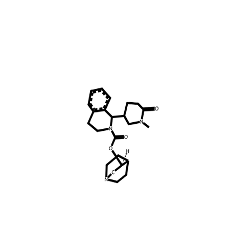 CN1CC(C2c3ccccc3CCN2C(=O)O[C@@H]2CN3CCC2CC3)CCC1=O